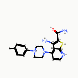 Cc1ccc(N2CCN(c3ccnc4sc(C(N)=O)c(N)c34)CC2)cc1